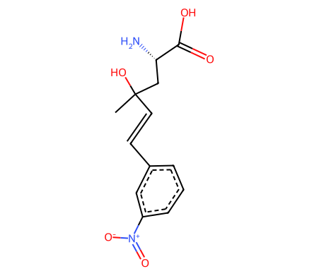 CC(O)(C=Cc1cccc([N+](=O)[O-])c1)C[C@H](N)C(=O)O